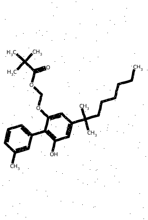 CCCCCCC(C)(C)c1cc(O)c(-c2cccc(C)c2)c(OCOC(=O)C(C)(C)C)c1